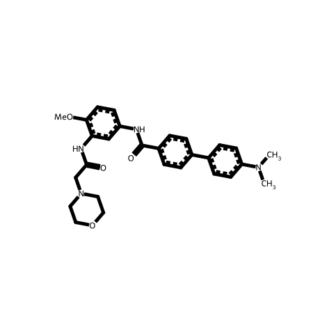 COc1ccc(NC(=O)c2ccc(-c3ccc(N(C)C)cc3)cc2)cc1NC(=O)CN1CCOCC1